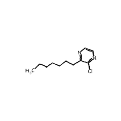 CCCCCCCc1nccnc1Cl